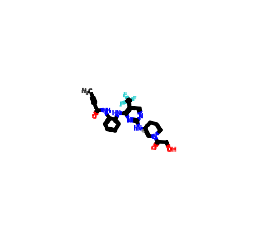 CC#CC(=O)Nc1ccccc1Nc1nc(N[C@H]2CCCN(C(=O)CO)C2)ncc1C(F)(F)F